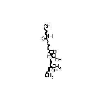 CCCC[C@](C)(O)C/C=C/[C@@H]1[C@H]2CC(CCCCC(=O)NCCCO)=C[C@H]2C[C@H]1O